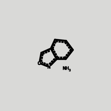 N.c1ccc2nocc2c1